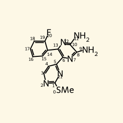 CSc1nccc(-c2nc(N)c(N)nc2-c2ccccc2F)n1